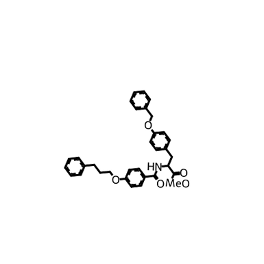 COC(=O)C(Cc1ccc(OCc2ccccc2)cc1)NC(=O)c1ccc(OCCCc2ccccc2)cc1